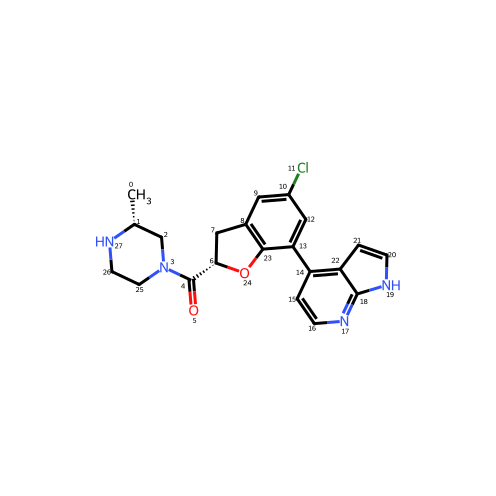 C[C@@H]1CN(C(=O)[C@@H]2Cc3cc(Cl)cc(-c4ccnc5[nH]ccc45)c3O2)CCN1